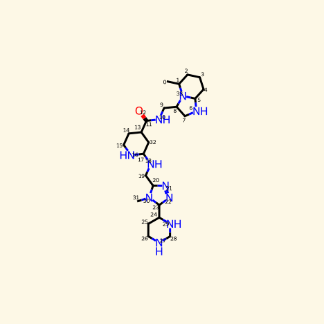 CC1CCCC2NCC(CNC(=O)C3CCNC(NCC4N=NC(C5CCNCN5)N4C)C3)N12